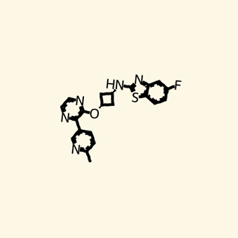 Cc1ccc(-c2nccnc2O[C@H]2C[C@H](Nc3nc4cc(F)ccc4s3)C2)cn1